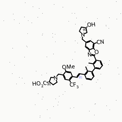 COc1cc(/C=C/c2cccc(-c3cccc(-c4nc5cc(CN6CC[C@@H](O)C6)cc(C#N)c5o4)c3C)c2C)c(C(F)(F)F)cc1CN1CC[C@@H](C(=O)O)C1